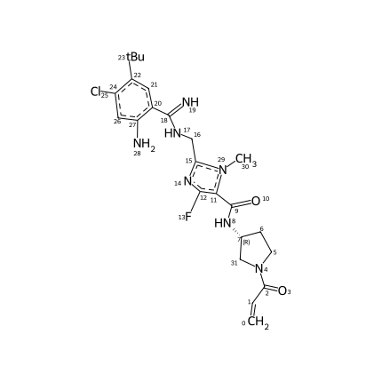 C=CC(=O)N1CC[C@@H](NC(=O)c2c(F)nc(CNC(=N)c3cc(C(C)(C)C)c(Cl)cc3N)n2C)C1